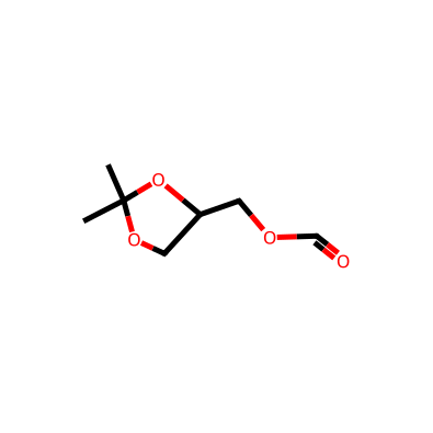 CC1(C)OCC(COC=O)O1